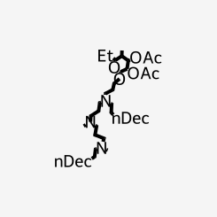 CCCCCCCCCCCCN(C)CCCN(C)CCCN(CCCCCCCCCCCC)CCCOC1OC(CC)C(C)C(OC(C)=O)C1OC(C)=O